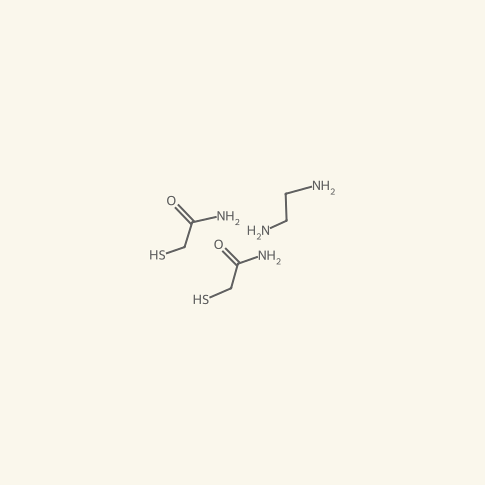 NC(=O)CS.NC(=O)CS.NCCN